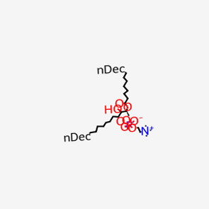 CCCCCCCCCCCCCCCCCC(=O)O[C@@H](COP(=O)([O-])OCC[N+](C)(C)C)C(O)C(=O)CCCCCCCCCCCCCCCCC